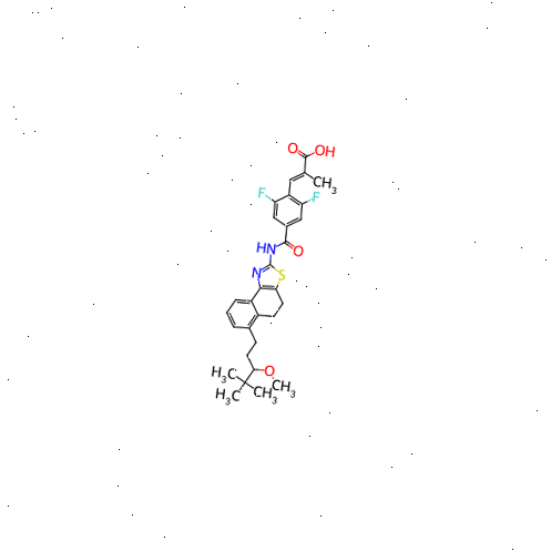 COC(CCc1cccc2c1CCc1sc(NC(=O)c3cc(F)c(C=C(C)C(=O)O)c(F)c3)nc1-2)C(C)(C)C